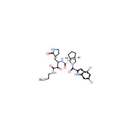 CC(C)COCCNC(=O)C(=O)C(C[C@@H]1CCNC1=O)NC(=O)[C@@H]1[C@H]2CCC[C@H]2CN1C(=O)c1cc2c(Cl)cc(Cl)cc2[nH]1